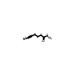 [2H]OC(=O)CCCC#CBr